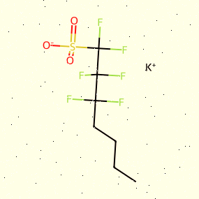 CCCCC(F)(F)C(F)(F)C(F)(F)S(=O)(=O)[O-].[K+]